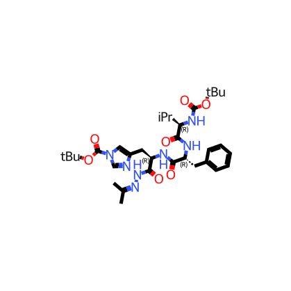 CC(C)=NNC(=O)[C@@H](Cc1cn(C(=O)OC(C)(C)C)cn1)NC(=O)[C@@H](Cc1ccccc1)NC(=O)[C@H](NC(=O)OC(C)(C)C)C(C)C